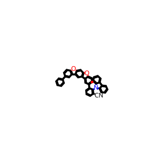 N#Cc1cccc(-c2ccc3oc4cc5oc6ccc(-c7ccccc7)cc6c5cc4c3c2)c1-n1c2ccccc2c2ccccc21